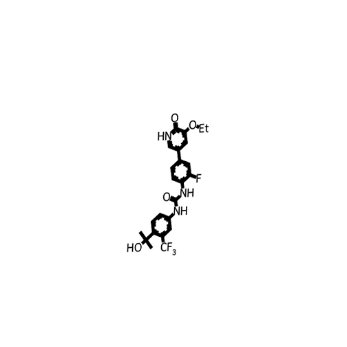 CCOc1cc(-c2ccc(NC(=O)Nc3ccc(C(C)(C)O)c(C(F)(F)F)c3)c(F)c2)c[nH]c1=O